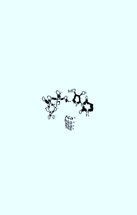 O=c1cc[nH]c(=O)n1[C@@H]1S[C@H](COP(=O)([O-])OP(=O)([O-])OP(=O)([O-])[O-])[C@@H](O)[C@H]1O.[Na+].[Na+].[Na+].[Na+]